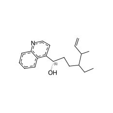 C=CC(C)C(CC)CC[C@H](O)c1ccnc2ccccc12